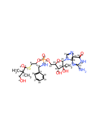 CC(C)(CO)C(=O)SCCOP(=O)(NCc1ccccc1)OCC1O[C@@H](n2cnc3c(=O)[nH]c(N)nc32)[C@](C)(O)[C@@H]1O